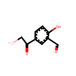 BCC(=O)c1ccc(O)c(C=O)c1